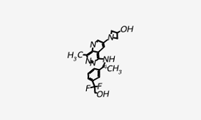 Cc1nnc(N[C@H](C)c2cccc(C(F)(F)CO)c2)c2cc(N3CC(O)C3)cnc12